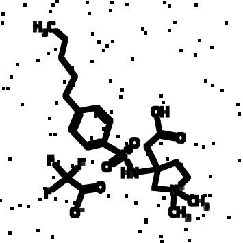 CCCCCc1ccc(S(=O)(=O)NC2(CC(=O)O)CC[N+](C)(C)C2)cc1.O=C([O-])C(F)(F)F